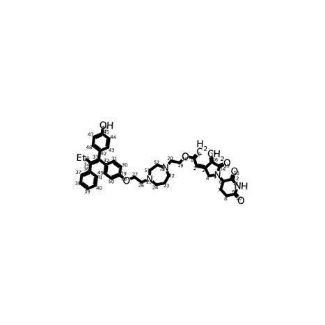 C=C(/C=C1/CN(C2CCC(=O)NC2=O)C(=O)C1=C)OCCN1CCCN(CCOc2ccc(/C(=C(/CC)c3ccccc3)c3ccc(O)cc3)cc2)CC1